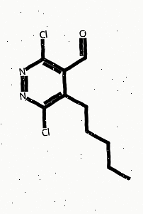 CCCCCc1c(Cl)nnc(Cl)c1C=O